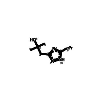 CCCc1nc(CC(C)(C)O)n[nH]1